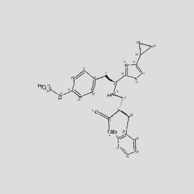 COC(=O)[C@H](CN[C@@H](Cc1ccc(NS(=O)(=O)O)cc1)c1nc(C2CC2)cs1)Cc1ccccc1